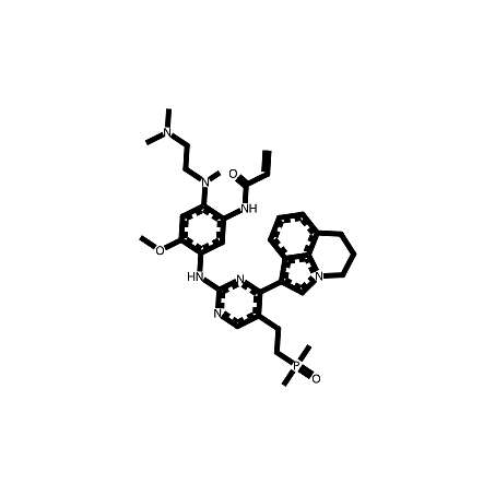 C=CC(=O)Nc1cc(Nc2ncc(CCP(C)(C)=O)c(-c3cn4c5c(cccc35)CCC4)n2)c(OC)cc1N(C)CCN(C)C